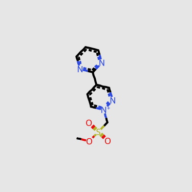 COS(=O)(=O)C[n+]1ccc(-c2ncccn2)cn1